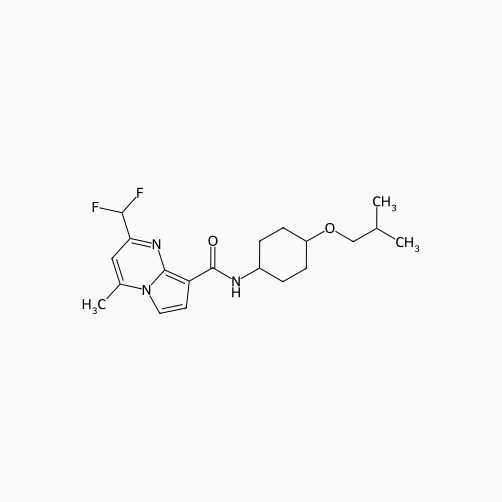 Cc1cc(C(F)F)nc2c(C(=O)NC3CCC(OCC(C)C)CC3)ccn12